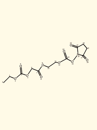 CCOC(=O)OCC(=O)OCCOC(=O)ON1C(=O)CCC1=O